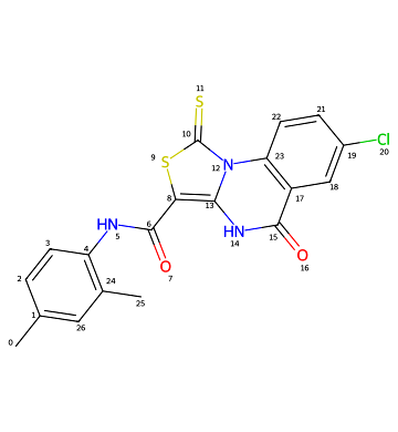 Cc1ccc(NC(=O)c2sc(=S)n3c2[nH]c(=O)c2cc(Cl)ccc23)c(C)c1